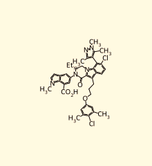 CC[C@@H]1Cn2c(c(CCCOc3cc(C)c(Cl)c(C)c3)c3ccc(Cl)c(-c4c(C)nn(C)c4C)c32)C(=O)N1c1cc(C(=O)O)c2c(ccn2C)c1